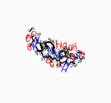 CCOC(=O)C1C(=O)N2C=C(/C=C3\C=C(C(CC4C5(CO5)C(NC(C)C(=O)N5CCOCC5)CC5[C@]4(C)CC[C@@H](O)[C@@]5(C)CO)Nc4ccccn4)C(=O)O3)C=CC2N1C